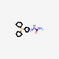 NNC(N)=O.c1ccc(P(c2ccccc2)c2ccccc2)cc1